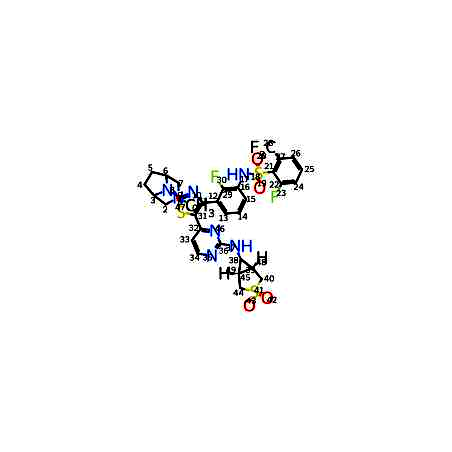 CN1CC2CCC(C1)N2c1nc(-c2cccc(NS(=O)(=O)c3c(F)cccc3C(F)(F)F)c2F)c(-c2ccnc(N[C@H]3[C@@H]4CS(=O)(=O)C[C@@H]43)n2)s1